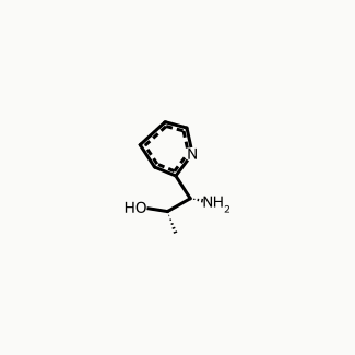 C[C@H](O)[C@@H](N)c1ccccn1